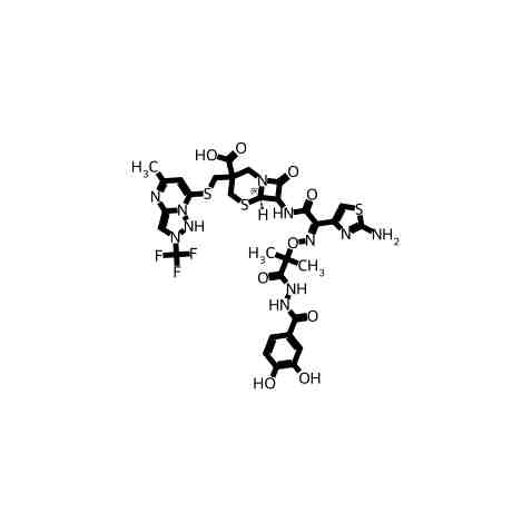 CC1=NC2=CN(C(F)(F)F)NN2C(SCC2(C(=O)O)CS[C@@H]3C(NC(=O)C(=NOC(C)(C)C(=O)NNC(=O)c4ccc(O)c(O)c4)c4csc(N)n4)C(=O)N3C2)=C1